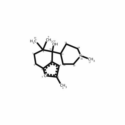 Cc1cc2c(o1)CCC(C)(C)C2(O)C1CCN(C)CC1